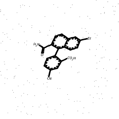 CCc1ccc2c(-c3ccc(C#N)cc3C(=O)O)c(C(N)=O)ccc2c1